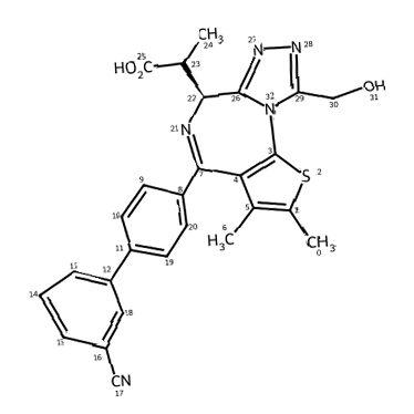 Cc1sc2c(c1C)C(c1ccc(-c3cccc(C#N)c3)cc1)=N[C@@H](C(C)C(=O)O)c1nnc(CO)n1-2